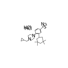 CC1(C)CC(c2cc(-c3nccs3)ccc2N2CCN(CC3CC3)CC2)CC(C)(C)C1.Cl.Cl